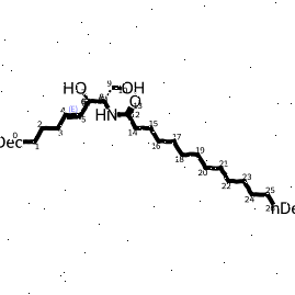 CCCCCCCCCCCCC/C=C/[C@@H](O)[C@H](CO)NC(=O)CCCCCCCCCCCCCCCCCCCCCC